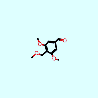 COCc1c(OC)cc(C=O)cc1OC